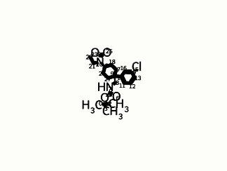 CC(C)(C)OC(=O)NC[C@]1(c2cccc(Cl)c2)CC[C@H](N2CCOC2=O)CC1